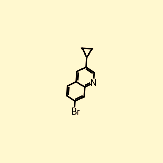 Brc1ccc2cc(C3CC3)cnc2c1